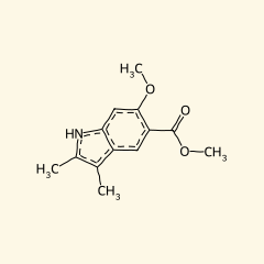 COC(=O)c1cc2c(C)c(C)[nH]c2cc1OC